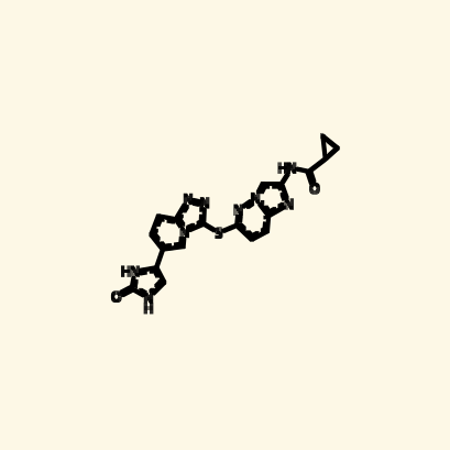 O=C(Nc1cn2nc(Sc3nnc4ccc(-c5c[nH]c(=O)[nH]5)cn34)ccc2n1)C1CC1